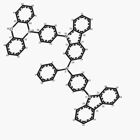 c1ccc(N(c2ccc(-n3c4ccccc4c4ccccc43)cc2)c2ccc3c4ccccc4n(-c4ccc(N5c6ccccc6Oc6ccccc65)cc4)c3c2)cc1